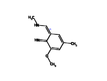 CN/C=C1/C=C(C)C=C(OC)C1=N